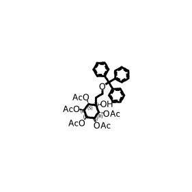 CC(=O)O[C@@H]1[C@@H](OC(C)=O)[C@H](OC(C)=O)[C@@](O)(CCOC(c2ccccc2)(c2ccccc2)c2ccccc2)[C@H](OC(C)=O)[C@H]1OC(C)=O